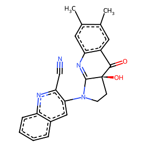 Cc1cc2c(cc1C)C(=O)[C@]1(O)CCN(c3cc4ccccc4nc3C#N)C1=N2